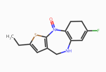 CCc1cc2c(s1)[N+](=O)C1=C(C=C(F)CC1)NC2